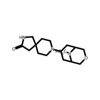 O=C1CC2(CCN(C3CC4COCC(C3)N4C(=O)O)CC2)CN1